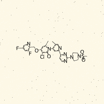 Cc1cnc(-c2ccnc(N3CCN(S(C)(=O)=O)CC3)n2)cc1-n1c(C)cc(OCc2ncc(F)cc2F)c(Cl)c1=O